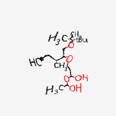 C#CC[C@@H](C)[C@@H](CO[Si](C)(C)C(C)(C)C)OCCC(O)OC(C)O